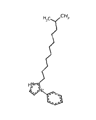 CC(C)CCCCCCCCCc1[nH]cc[n+]1-c1ccccc1